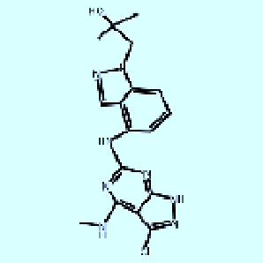 CNc1nc(Nc2cccc3c2cnn3CC(C)(C)O)nc2[nH]nc(Cl)c12